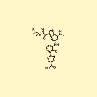 CNc1cc(Nc2cccn(-c3ccc(C(=O)O)cn3)c2=O)nn2c(C(=O)N[C@@H]3C[C@@H]3F)cnc12